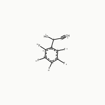 C#CC(O)c1c(F)c(F)c(F)c(F)c1F